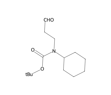 CC(C)(C)OC(=O)N(CCC=O)C1CCCCC1